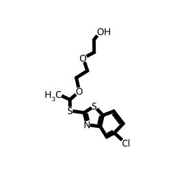 CC(OCCOCCO)Sc1nc2cc(Cl)ccc2s1